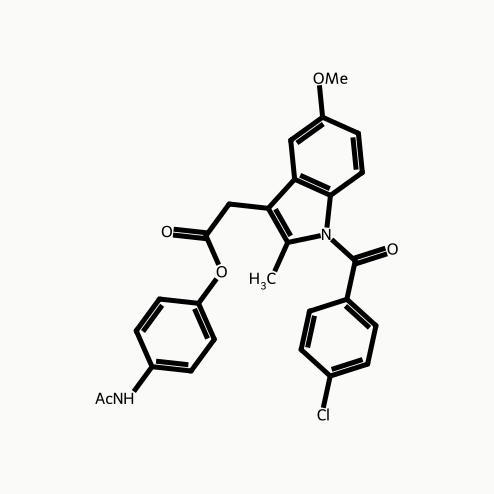 COc1ccc2c(c1)c(CC(=O)Oc1ccc(NC(C)=O)cc1)c(C)n2C(=O)c1ccc(Cl)cc1